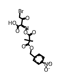 CC(C)(C(=O)OCc1ccc([N+](=O)[O-])cc1)C(=O)O/N=C(\C(=O)O)C(=O)CBr